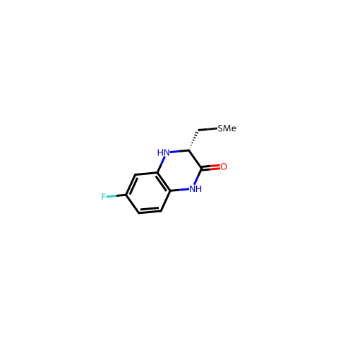 CSC[C@H]1Nc2cc(F)ccc2NC1=O